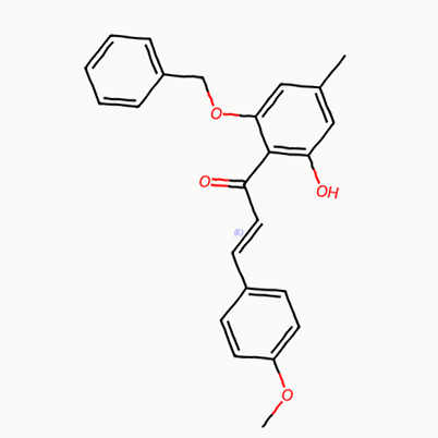 COc1ccc(/C=C/C(=O)c2c(O)cc(C)cc2OCc2ccccc2)cc1